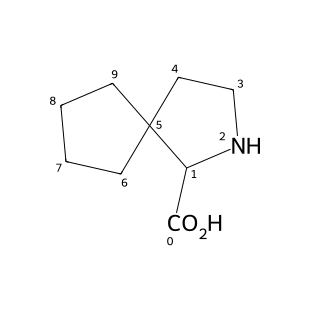 O=C(O)C1NCCC12CCCC2